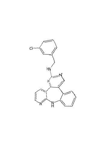 Clc1cccc(CNc2ncc3c(n2)-c2cccnc2Nc2ccccc2-3)c1